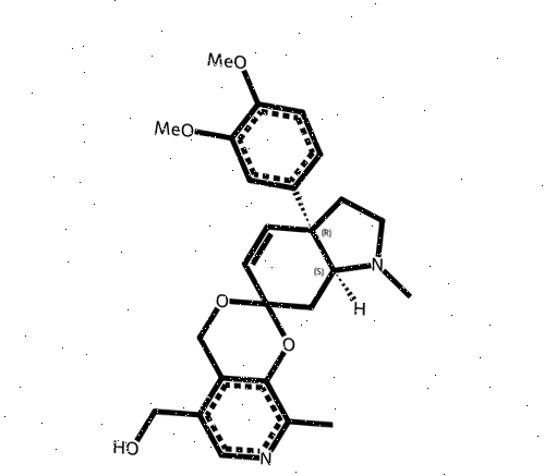 COc1ccc([C@@]23C=CC4(C[C@@H]2N(C)CC3)OCc2c(CO)cnc(C)c2O4)cc1OC